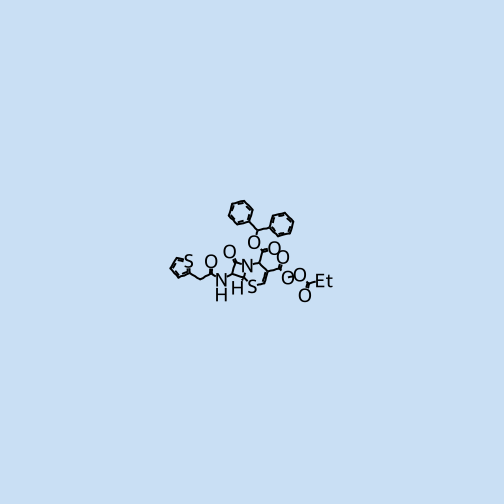 CCC(=O)OOC(=O)C1=CS[C@@H]2C(NC(=O)Cc3cccs3)C(=O)N2C1C(=O)OC(c1ccccc1)c1ccccc1